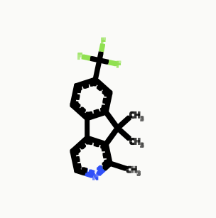 Cc1nccc2c1C(C)(C)c1cc(C(F)(F)F)ccc1-2